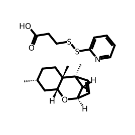 C[C@@H]1CC[C@@]2(C)[C@@H](C1)O[C@@H]1C=C[C@@]2(C)[C@@H]1C.O=C(O)CCSSc1ccccn1